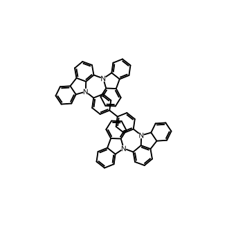 C1=CC2c3cccc(-n4c5ccccc5c5ccccc54)c3N(c3ccc(-c4ccc(-n5c6ccccc6c6cccc(-n7c8ccccc8c8ccccc87)c65)cc4)cc3)C2C=C1